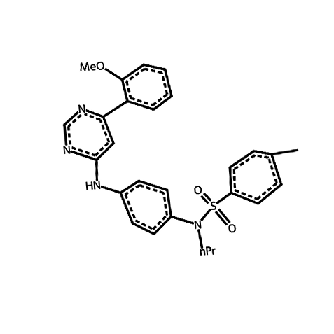 CCCN(c1ccc(Nc2cc(-c3ccccc3OC)ncn2)cc1)S(=O)(=O)c1ccc(C)cc1